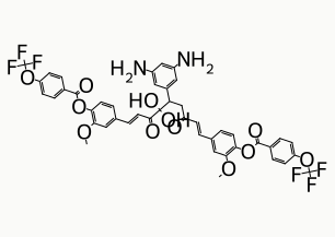 COc1cc(C=CC(=O)CC(c2cc(N)cc(N)c2)C(O)(O)C(=O)C=Cc2ccc(OC(=O)c3ccc(OC(F)(F)F)cc3)c(OC)c2)ccc1OC(=O)c1ccc(OC(F)(F)F)cc1